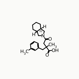 Cc1cccc(CC(C)(CC(=O)N2C[C@H]3CCCC[C@H]3C2)C(=O)O)c1